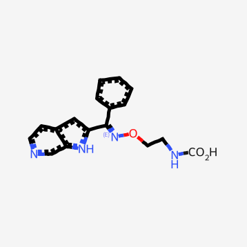 O=C(O)NCCO/N=C(\c1ccccc1)c1cc2ccncc2[nH]1